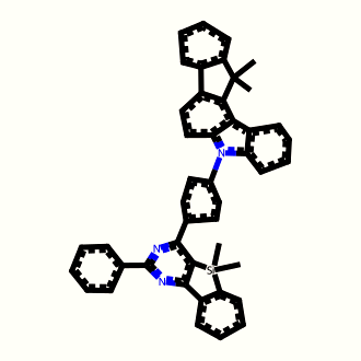 CC1(C)c2ccccc2-c2ccc3c(c21)c1ccccc1n3-c1ccc(-c2nc(-c3ccccc3)nc3c2[Si](C)(C)c2ccccc2-3)cc1